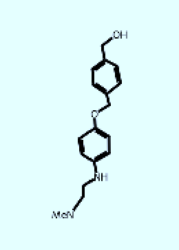 CNCCNc1ccc(OCc2ccc(CO)cc2)cc1